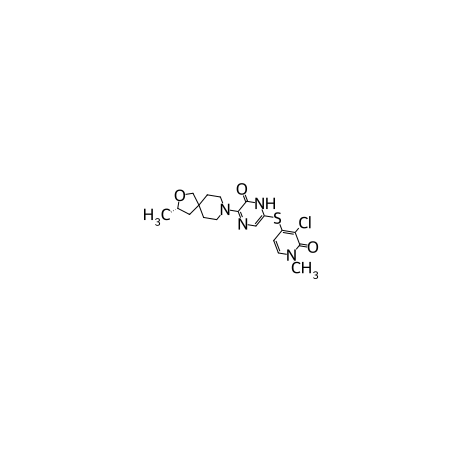 C[C@H]1CC2(CCN(c3ncc(Sc4ccn(C)c(=O)c4Cl)[nH]c3=O)CC2)CO1